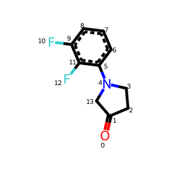 O=C1CCN(c2cccc(F)c2F)C1